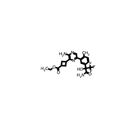 CCOC(=O)C1CC(c2nc(-c3cc(C(O)(C(N)=O)C(F)(F)F)ccc3C)cnc2N)C1